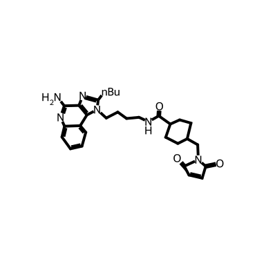 CCCCc1nc2c(N)nc3ccccc3c2n1CCCCNC(=O)C1CCC(CN2C(=O)C=CC2=O)CC1